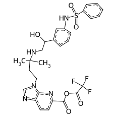 CC(C)(CCn1cnc2ccc(C(=O)OC(=O)C(F)(F)F)nc21)NCC(O)c1cccc(NS(=O)(=O)c2ccccc2)c1